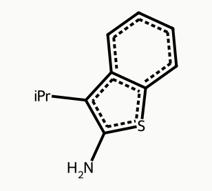 CC(C)c1c(N)sc2ccccc12